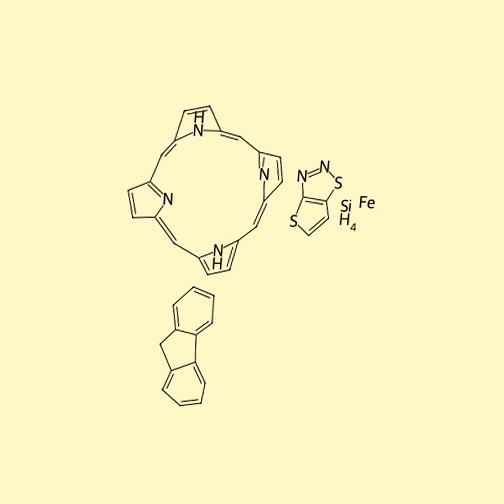 C1=Cc2cc3ccc(cc4nc(cc5ccc(cc1n2)[nH]5)C=C4)[nH]3.[Fe].[SiH4].c1cc2snnc2s1.c1ccc2c(c1)Cc1ccccc1-2